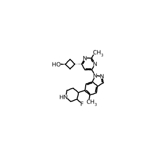 Cc1nc(-n2ncc3cc(C)c(C4CCNCC4F)cc32)cc([C@H]2C[C@H](O)C2)n1